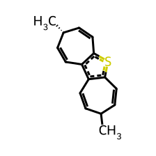 CC1C=Cc2sc3c(c2C=C1)C=C[C@H](C)C=C3